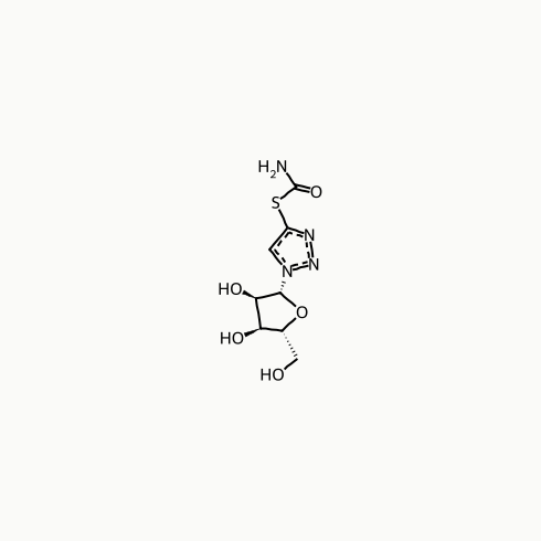 NC(=O)Sc1cn([C@@H]2O[C@H](CO)[C@@H](O)[C@H]2O)nn1